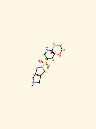 CN1CC2=C(C1)CN(S(=O)(=O)c1cnc3c(c1)OCCO3)C2